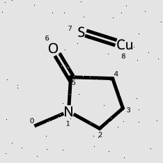 CN1CCCC1=O.[S]=[Cu]